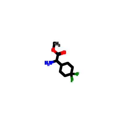 COC(=O)C(N)C1CCC(F)(F)CC1